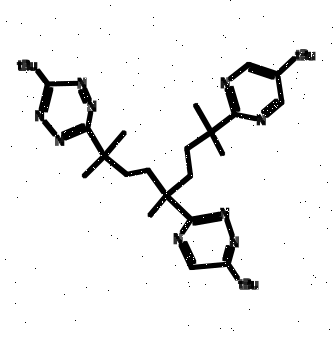 CC(C)(C)c1cnc(C(C)(C)CCC(C)(CCC(C)(C)c2nnc(C(C)(C)C)nn2)c2ncc(C(C)(C)C)nn2)nc1